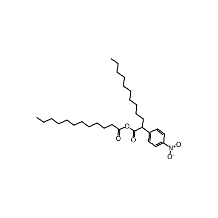 CCCCCCCCCCCC(=O)OC(=O)C(CCCCCCCCCC)c1ccc([N+](=O)[O-])cc1